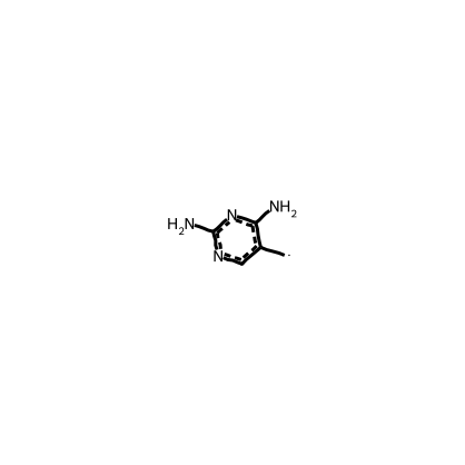 [CH2]c1cnc(N)nc1N